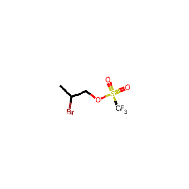 CC(Br)COS(=O)(=O)C(F)(F)F